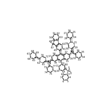 CC1(C)c2ccccc2-c2ccc(-c3c4ccc(N(C5=CCC(c6ccccc6)C=C5)c5ccccc5)cc4c(-c4ccc5c(c4)C(C)(C)c4ccccc4-5)c4ccc(N(C5=CCC(c6ccccc6)C=C5)c5ccccc5)cc34)cc21